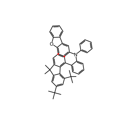 CC(C)(C)c1cc(C(C)(C)C)c2c(c1)C(C)(C)c1cccc(-c3ccccc3N(c3ccccc3)c3ccc4oc5ccccc5c4c3)c1-2